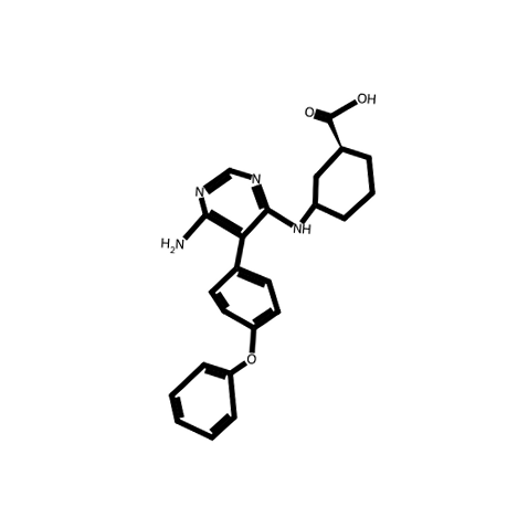 Nc1ncnc(NC2CCC[C@H](C(=O)O)C2)c1-c1ccc(Oc2ccccc2)cc1